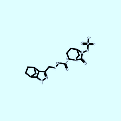 O=C(NOCC1=NNC2C3CCC(C3)C12)[C@@H]1CCC2CN1C(=O)N2OS(=O)(=O)O